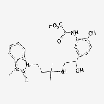 Cn1c(=O)n(CCC(C)(C)NCC(O)c2ccc(O)c(NC(=O)C(=O)O)c2)c2ccccc21